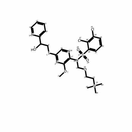 COc1nc(SCC(O)c2ccccn2)cnc1N(COCC[Si](C)(C)C)S(=O)(=O)c1cccc(Cl)c1Cl